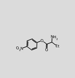 CCC(N)C(=O)Oc1ccc([N+](=O)[O-])cc1